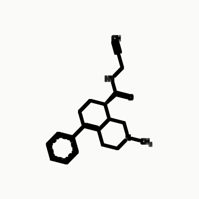 C#CCNC(=O)[C@@H]1CCC(c2ccccc2)=C2CCN(C)CC21